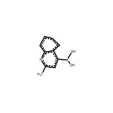 Cc1cc(B(O)O)c2ccccc2n1